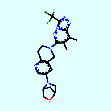 Cc1c(N2CCc3ncc(N4CC5CC4CO5)cc3C2)nn2c(C(F)(F)F)nnc2c1C